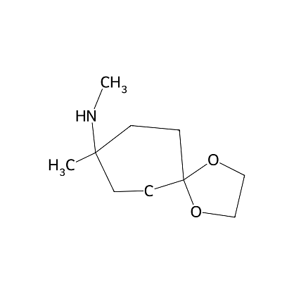 CNC1(C)CCC2(CC1)OCCO2